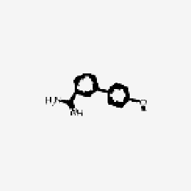 COc1ccc(-c2[c]ccc(C(=N)N)c2)cc1